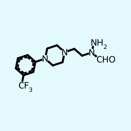 NN(C=O)CCN1CCN(c2cccc(C(F)(F)F)c2)CC1